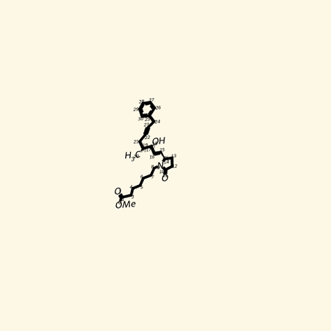 COC(=O)CCCCCCN1C(=O)CC[C@@H]1C=C[C@H](O)[C@H](C)CC#CCc1ccccc1